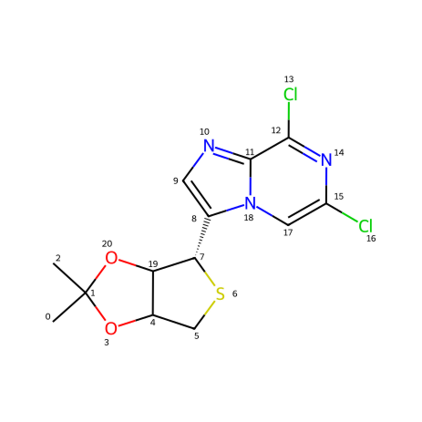 CC1(C)OC2CS[C@@H](c3cnc4c(Cl)nc(Cl)cn34)C2O1